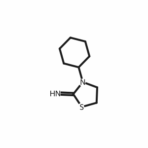 N=C1SCCN1C1CCCCC1